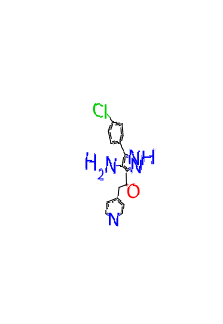 Nc1c(C(=O)Cc2ccncc2)n[nH]c1-c1ccc(Cl)cc1